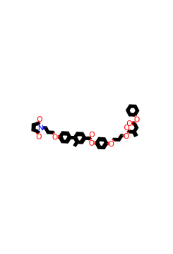 C=C(CC(=O)OC1CCCCC1)C(=O)OCCCOc1ccc(OC(=O)c2ccc(-c3ccc(OCCCN4C(=O)C=CC4=O)cc3)c(C)c2)cc1